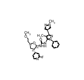 COCCN1C[C@@H](c2ccnc(F)c2)[C@H](NC(=O)Nc2c(C)c(-c3cnn(C)c3)nn2-c2ccccc2)O1